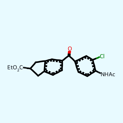 CCOC(=O)C1Cc2ccc(C(=O)c3ccc(NC(C)=O)c(Cl)c3)cc2C1